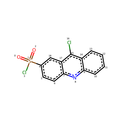 O=S(=O)(Cl)c1ccc2nc3ccccc3c(Cl)c2c1